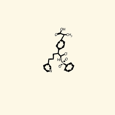 CC(C(=O)O)c1ccc(C(CCCc2cccnc2)C(Cl)NS(=O)(=O)c2ccccc2)cc1